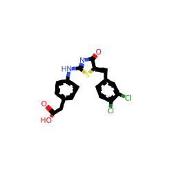 O=C(O)Cc1ccc(NC2=NC(=O)C(=Cc3ccc(Cl)c(Cl)c3)S2)cc1